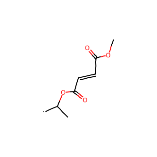 [CH2]C(C)OC(=O)/C=C/C(=O)OC